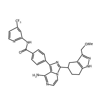 COCc1n[nH]c2c1CC(c1nc(-c3ccc(C(=O)Nc4cc(C(F)(F)F)ccn4)cc3)c3c(N)nccn13)CC2